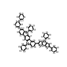 c1ccc(-c2cccc(-c3ccc4c5cc6c(cc5n(-c5ccccc5)c4c3)c3cc(-c4cc5c(s4)c4sc(-c7ccccc7)cc4n5-c4ccccc4)ccc3n6-c3ccccc3)c2)cc1